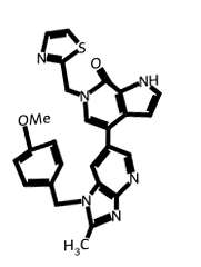 COc1ccc(Cn2c(C)nc3ncc(-c4cn(Cc5nccs5)c(=O)c5[nH]ccc45)cc32)cc1